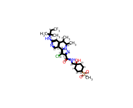 CC1c2cc(NC(C)(C)CC(F)(F)F)ncc2-c2c(Cl)c(C(=O)NCC3(O)CCC(S(C)(=O)=O)CC3)nn2C1C